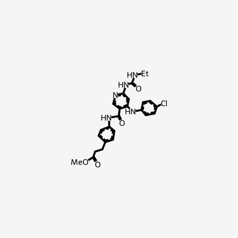 CCNC(=O)Nc1cc(Nc2ccc(Cl)cc2)c(C(=O)Nc2ccc(CCC(=O)OC)cc2)cn1